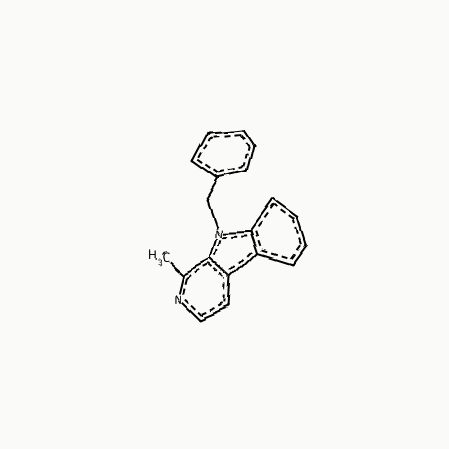 Cc1nccc2c3ccccc3n(Cc3ccccc3)c12